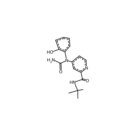 CC(C)(C)NC(=O)c1cc(N(C(N)=O)c2ccccc2O)ccn1